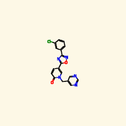 O=c1ccc(-c2nc(-c3cccc(Cl)c3)no2)cn1Cc1cncnc1